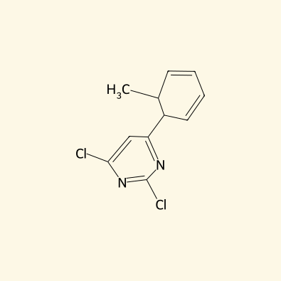 CC1C=CC=CC1c1cc(Cl)nc(Cl)n1